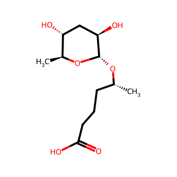 C[C@H](CCCC(=O)O)O[C@@H]1O[C@@H](C)[C@H](O)C[C@H]1O